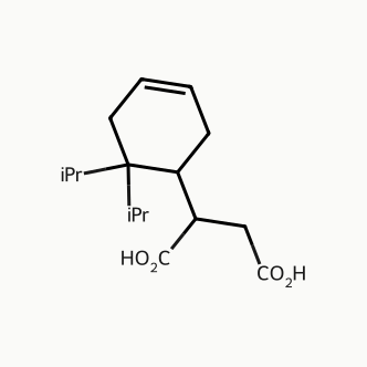 CC(C)C1(C(C)C)CC=CCC1C(CC(=O)O)C(=O)O